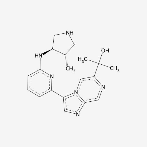 C[C@H]1CNC[C@@H]1Nc1cccc(-c2cnc3cnc(C(C)(C)O)cn23)n1